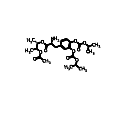 CC(=O)OC(C)[C@H](C)OC(=O)[C@@H](N)Cc1ccc(OC(=O)OC(C)C)c(OC(=O)OC(C)C)c1